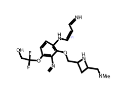 C=Nc1c(OC(F)(F)CO)ccc(N/C=C\C=N)c1OCC1CC(CNC)N1